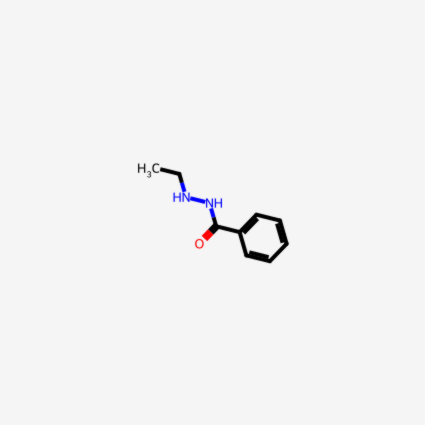 CCNNC(=O)c1ccccc1